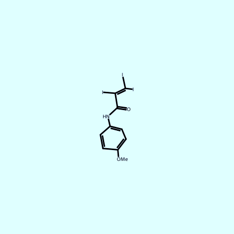 COc1ccc(NC(=O)C(I)=C(I)I)cc1